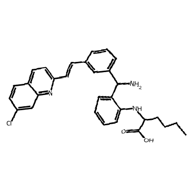 CCCCC(Nc1ccccc1C(N)c1cccc(/C=C/c2ccc3ccc(Cl)cc3n2)c1)C(=O)O